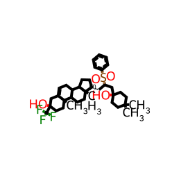 CC1(C)CCC(O)(CC(C[C@H]2CCC3C4CC=C5CC(O)(C(F)(F)F)CCC5(C)C4CCC32C)S(=O)(=O)c2ccccc2)CC1